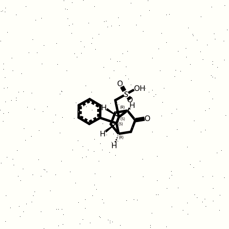 O=C1C[C@H]2CC[C@@H]1[C@@H](CS(=O)(=O)O)[C@H]2c1ccccc1